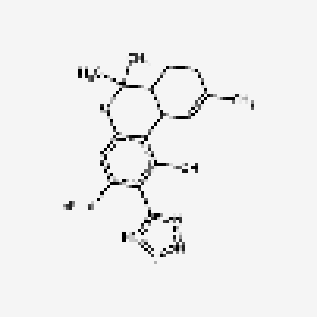 CCCCCc1cc2c(c(O)c1-c1nnn[nH]1)C1C=C(C)CCC1C(C)(C)O2